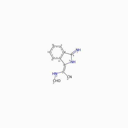 N#CC(NC=O)=C1NC(=N)c2ccccc21